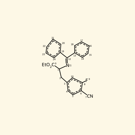 CCOC(=O)C(Cc1ccc(C#N)c(F)c1)N=C(c1ccccc1)c1ccccc1